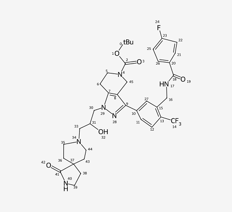 CC(C)(C)OC(=O)N1CCc2c(c(-c3ccc(C(F)(F)F)c(CNC(=O)c4ccc(F)cc4)c3)nn2CC(O)CN2CCC3(CCNC3=O)CC2)C1